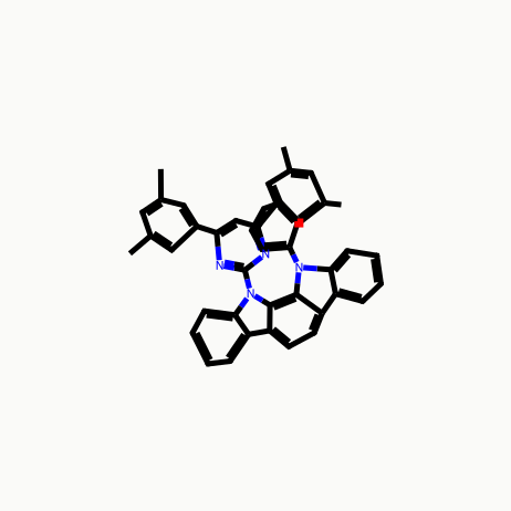 Cc1cc(C)cc(-c2cc(-c3cc(C)cc(C)c3)nc(-n3c4ccccc4c4ccc5c6ccccc6n(-c6ccccc6)c5c43)n2)c1